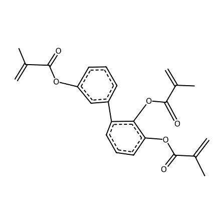 C=C(C)C(=O)Oc1cccc(-c2cccc(OC(=O)C(=C)C)c2OC(=O)C(=C)C)c1